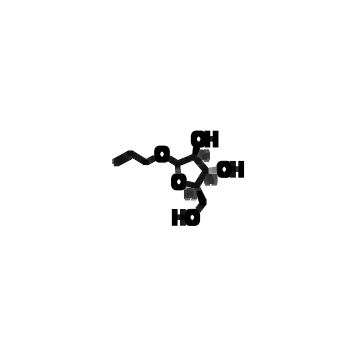 C=CCOC1O[C@H](CO)[C@@H](O)[C@@H]1O